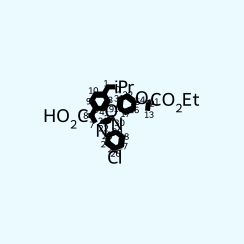 CC(C)Cc1ccc(C(C)C(=O)O)cc1.CCOC(=O)C(C)Oc1ccc(Oc2cnc3cc(Cl)ccc3n2)cc1